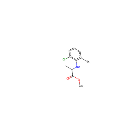 CCCOC(=O)C(C)Nc1c(Cl)cccc1CC